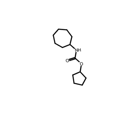 O=C(NC1CCCCCC1)OC1CCCC1